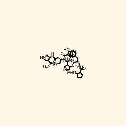 CNC1CCCC1C(=O)NC[C@H](Cc1ccc(O)cc1)C(=O)NC1CNCC1C(=O)NC1CNCC1C(=O)N[C@H](CC(=O)NC1CNCC1C(N)=O)CC(C)C